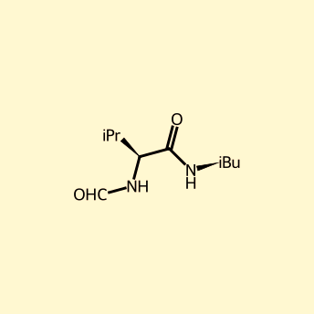 CC[C@H](C)NC(=O)[C@@H](NC=O)C(C)C